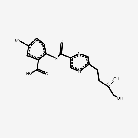 O=C(Nc1ccc(Br)cc1C(=O)O)c1cnc(CC[C@H](O)CO)cn1